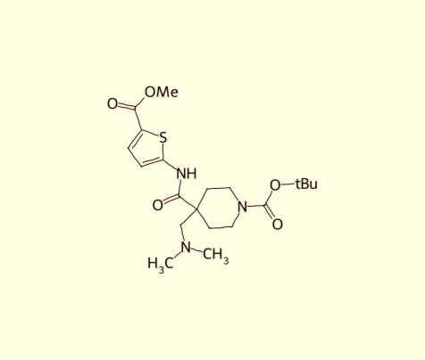 COC(=O)c1ccc(NC(=O)C2(CN(C)C)CCN(C(=O)OC(C)(C)C)CC2)s1